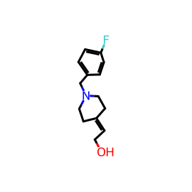 OCC=C1CCN(Cc2ccc(F)cc2)CC1